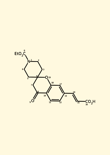 CCOC(=O)N1CCC2(CC1)CC(=O)c1ccc(C=CC(=O)O)cc1O2